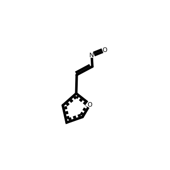 O=N/C=C/c1ccco1